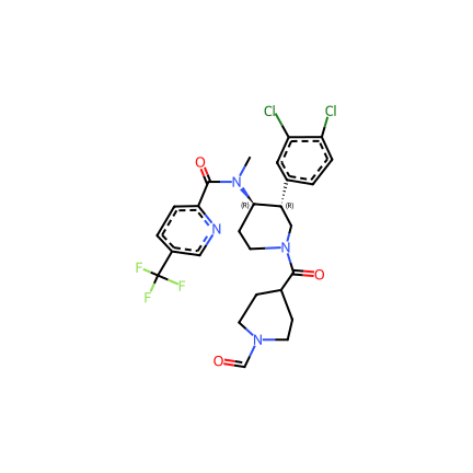 CN(C(=O)c1ccc(C(F)(F)F)cn1)[C@@H]1CCN(C(=O)C2CCN(C=O)CC2)C[C@H]1c1ccc(Cl)c(Cl)c1